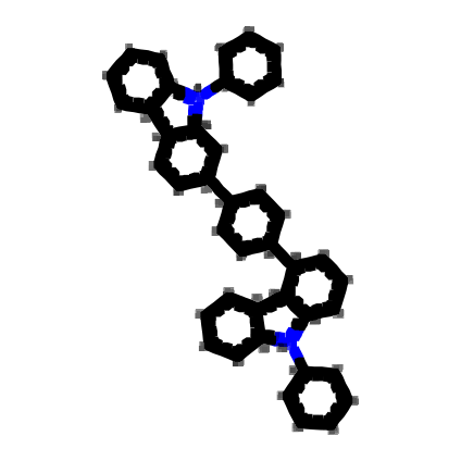 c1ccc(-n2c3ccccc3c3ccc(-c4ccc(-c5cccc6c5c5ccccc5n6-c5ccccc5)cc4)cc32)cc1